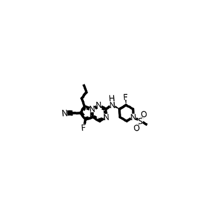 CCCc1c(C#N)c(F)c2cnc(N[C@@H]3CCN(S(C)(=O)=O)C[C@H]3F)nn12